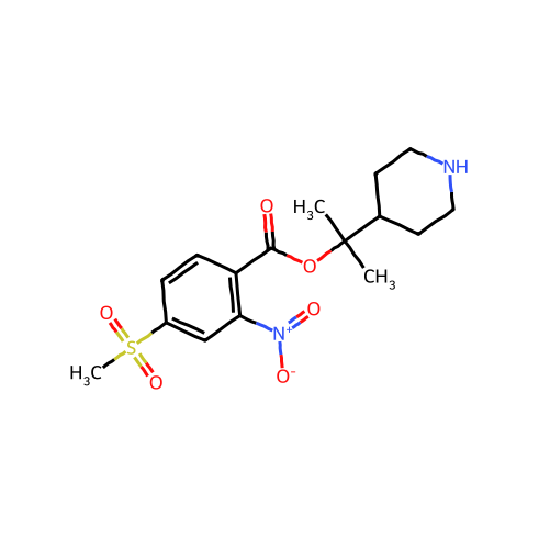 CC(C)(OC(=O)c1ccc(S(C)(=O)=O)cc1[N+](=O)[O-])C1CCNCC1